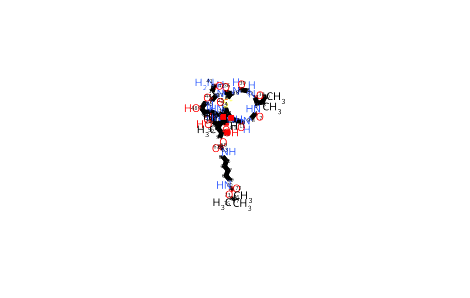 CC[C@H](C)[C@@H]1NC(=O)CNC(=O)[C@H]2Cc3c([nH]c4cc(O)ccc34)[S@+]([O-])CC(NC(=O)CNC1=O)C(=O)N[C@@H](CC(N)=O)C(=O)N1CC(O)C[C@H]1C(=O)N[C@@H]([C@@H](C)[C@@H](O)COC(=O)NCCCCCCNC(=O)OC(C)(C)C)C(=O)N2